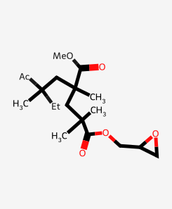 CCC(C)(CC(C)(CC(C)(C)C(=O)OCC1CO1)C(=O)OC)C(C)=O